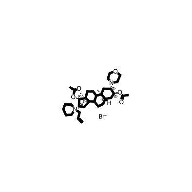 C=CC[N+]1([C@H]2CC3C4CC[C@H]5C[C@H](OC(C)=O)[C@@H](N6CCOCC6)C[C@]5(C)C4CC[C@]3(C)[C@H]2OC(C)=O)CCCCC1.[Br-]